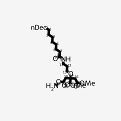 CCCCCCCCCCCCCCCCCC(=O)NCCCOC(CC(=O)OC)(CC(=O)ON)C(=O)OC